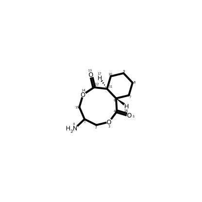 NC1COC(=O)[C@H]2CCCC[C@@H]2C(=O)OC1